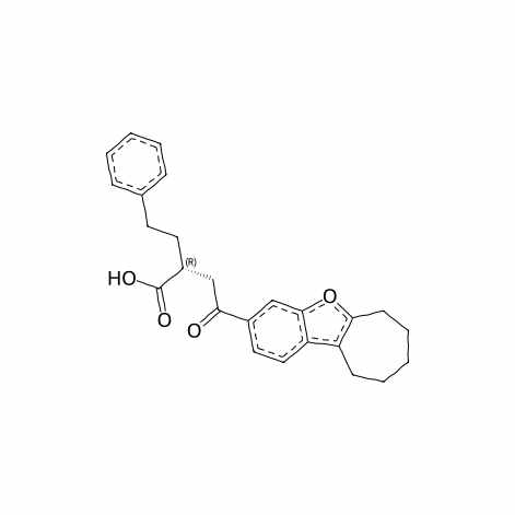 O=C(C[C@@H](CCc1ccccc1)C(=O)O)c1ccc2c3c(oc2c1)CCCCC3